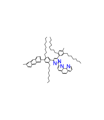 CCCCCCCCc1cc(-c2cc(-c3cc(CCCCCCCC)c(-c4ccc5cc6cc(C)ccc6cc5c4)cc3CCCCCCCC)nc(-c3ccc4ccc5cccnc5c4n3)n2)c(CCCCCCCC)cc1C